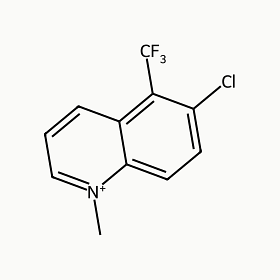 C[n+]1cccc2c(C(F)(F)F)c(Cl)ccc21